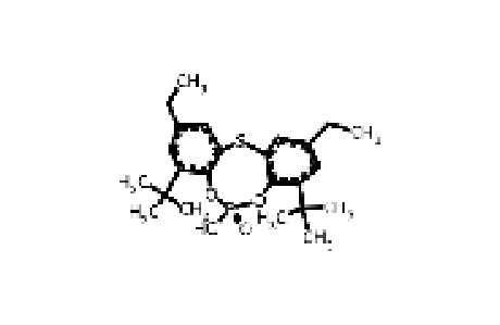 CCc1cc2c(c(C(C)(C)C)c1)OP(=O)(O)Oc1c(cc(CC)cc1C(C)(C)C)S2